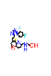 OCCNCc1ccc2c(n1)-c1sc(-c3ncnn3-c3ccc(F)cc3F)cc1CCO2